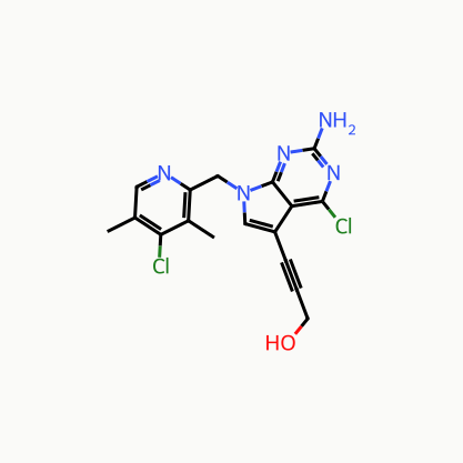 Cc1cnc(Cn2cc(C#CCO)c3c(Cl)nc(N)nc32)c(C)c1Cl